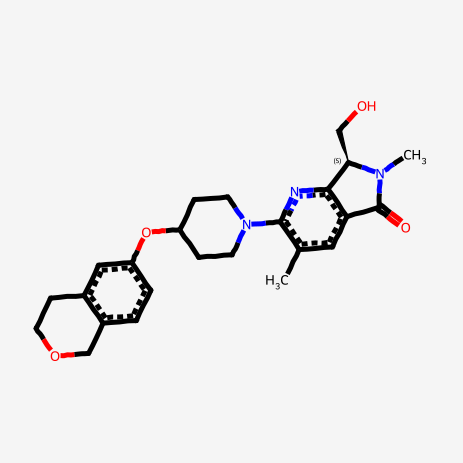 Cc1cc2c(nc1N1CCC(Oc3ccc4c(c3)CCOC4)CC1)[C@@H](CO)N(C)C2=O